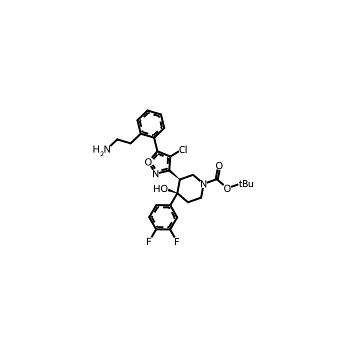 CC(C)(C)OC(=O)N1CC[C@](O)(c2ccc(F)c(F)c2)[C@@H](c2noc(-c3ccccc3CCN)c2Cl)C1